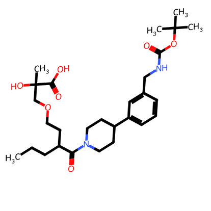 CCCC(CCOCC(C)(O)C(=O)O)C(=O)N1CCC(c2cccc(CNC(=O)OC(C)(C)C)c2)CC1